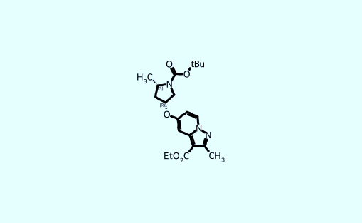 CCOC(=O)c1c(C)nn2ccc(O[C@@H]3C[C@H](C)N(C(=O)OC(C)(C)C)C3)cc12